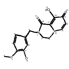 COc1ccc(CN2CCn3ccc(=O)c(O)c3C2=O)cc1Cl